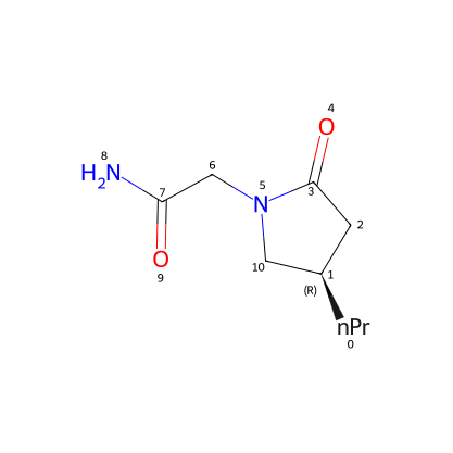 CCC[C@@H]1CC(=O)N(CC(N)=O)C1